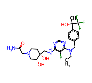 CCN(Cc1ccc(C(C)(O)C(F)(F)F)cc1)c1ncnc(NC[C@]2(O)CCN(CC(N)=O)C[C@H]2O)c1F